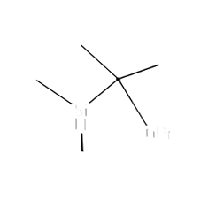 CCCC(C)(C)[SiH](C)C